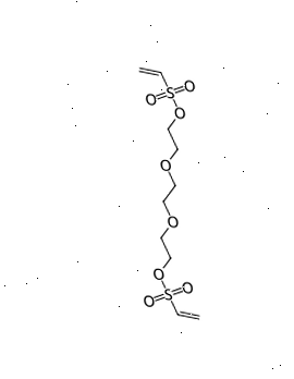 C=CS(=O)(=O)OCCOCCOCCOS(=O)(=O)C=C